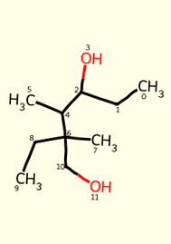 CCC(O)C(C)C(C)(CC)CO